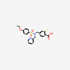 CCOc1ccc(S(=O)(=O)N(Cc2ccc(C(=O)O)c(F)c2)Cc2ccccn2)cc1